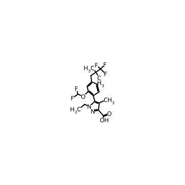 CCn1nc(C(=O)O)c(C)c1-c1ccc(CC(C)(C)C(F)(F)F)cc1OC(F)F